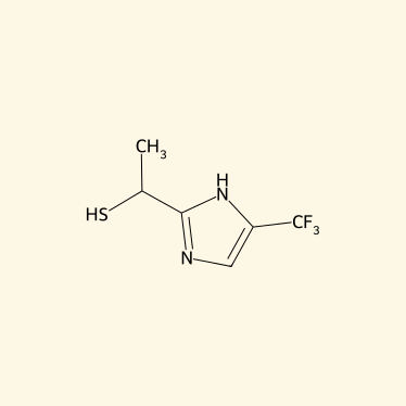 CC(S)c1ncc(C(F)(F)F)[nH]1